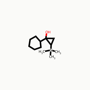 C[Si](C)(C)C1CC1(O)C1CCCCC1